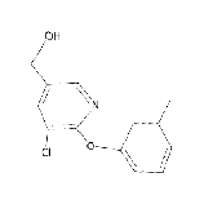 Cc1cccc(Oc2ncc(CO)cc2Cl)c1